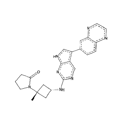 C[C@]1(N2CCCC2=O)C[C@@H](Nc2ncc3c(-c4ccc5nccnc5c4)c[nH]c3n2)C1